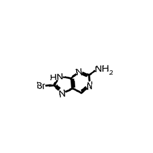 Nc1ncc2nc(Br)[nH]c2n1